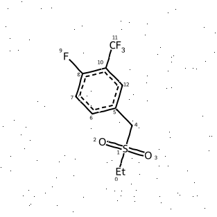 CCS(=O)(=O)Cc1ccc(F)c(C(F)(F)F)c1